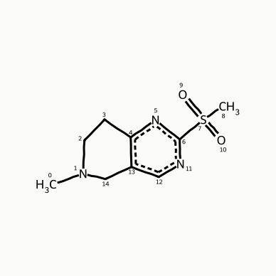 CN1CCc2nc(S(C)(=O)=O)ncc2C1